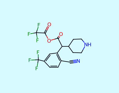 N#Cc1ccc(C(F)(F)F)cc1C(C(=O)OC(=O)C(F)(F)F)C1CCNCC1